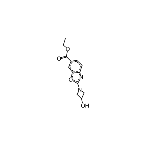 CCOC(=O)c1ccc2nc(N3CC(O)C3)oc2c1